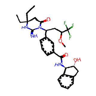 CCC1(CC)CC(=O)N(C(CC(OC)C(F)(F)F)c2cccc(C(=O)N[C@@H]3c4ccccc4C[C@H]3O)c2)C(=N)N1